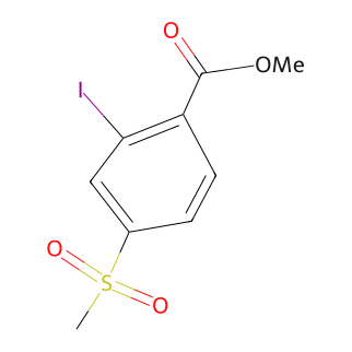 COC(=O)c1ccc(S(C)(=O)=O)cc1I